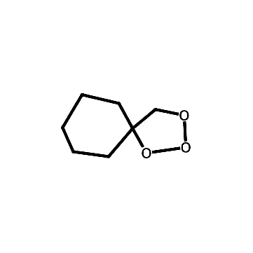 C1CCC2(CC1)COOO2